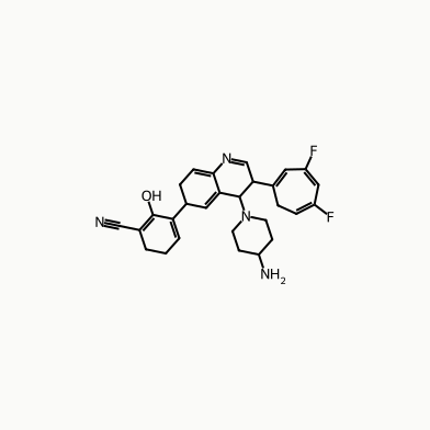 N#CC1=C(O)C(C2C=C3C(=CC2)N=CC(C2=CC(F)=CC(F)=CC2)C3N2CCC(N)CC2)=CCC1